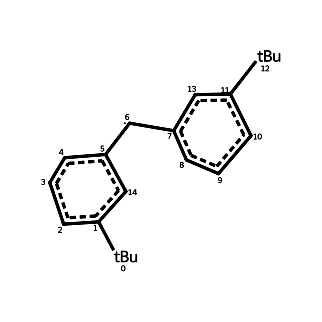 CC(C)(C)c1cccc([CH]c2cccc(C(C)(C)C)c2)c1